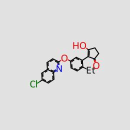 CCc1ccc(Oc2ccc3cc(Cl)ccc3n2)cc1C1=C(O)CCC1=O